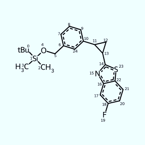 CC(C)(C)[Si](C)(C)OCc1cccc(C2CC2c2nc3cc(F)ccc3s2)c1